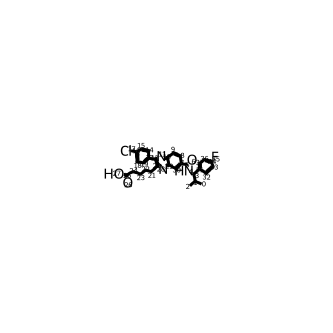 CC(C)C(NC(=O)c1ccc2nc(-c3ccc(Cl)cc3)c(CCCCC(=O)O)nc2c1)c1ccc(F)cc1